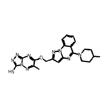 Cc1nn2c(S)nnc2nc1OCc1cc2nc(N3CCC(C)CC3)c3ccccc3n2n1